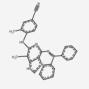 Cc1cc(C#N)ccc1Nc1nc(N=C(c2ccccc2)c2ccccc2)c2nc[nH]c2c1C